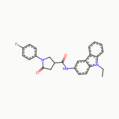 CCn1c2ccccc2c2cc(NC(=O)C3CC(=O)N(c4ccc(F)cc4)C3)ccc21